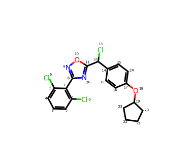 Clc1cccc(Cl)c1-c1noc(C(Cl)c2ccc(OC3CCCC3)cc2)n1